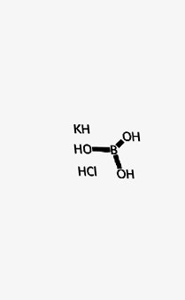 Cl.OB(O)O.[KH]